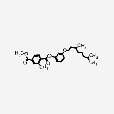 COC(=O)c1ccc(C(=O)Oc2cccc(OCCC(C)CCCC(C)C)c2)c(C)c1